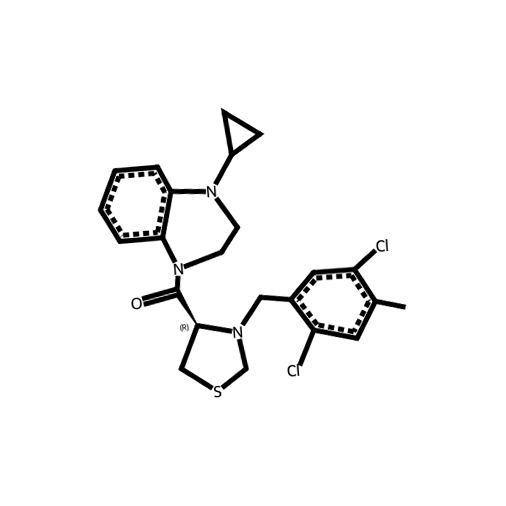 Cc1cc(Cl)c(CN2CSC[C@H]2C(=O)N2CCN(C3CC3)c3ccccc32)cc1Cl